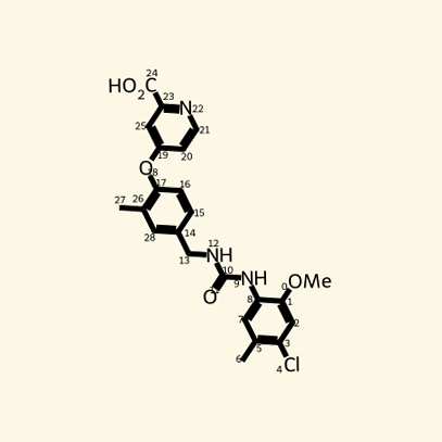 COc1cc(Cl)c(C)cc1NC(=O)NCc1ccc(Oc2ccnc(C(=O)O)c2)c(C)c1